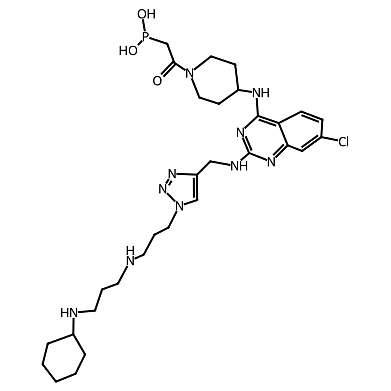 O=C(CP(O)O)N1CCC(Nc2nc(NCc3cn(CCCNCCCNC4CCCCC4)nn3)nc3cc(Cl)ccc23)CC1